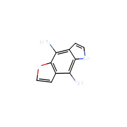 Nc1c2ccoc2c(N)c2cc[nH]c12